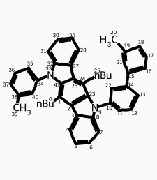 CCCCc1c2c3ccccc3n(-c3cccc(-c4cccc(C)c4)c3)c2c(CCCC)c2c3ccccc3n(-c3cccc(C)c3)c12